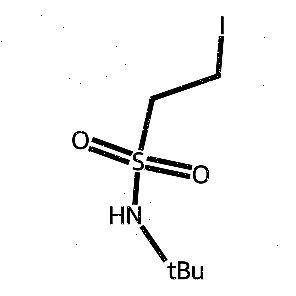 CC(C)(C)NS(=O)(=O)CCI